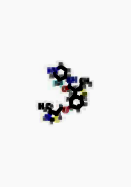 Cc1ncsc1COc1ccc2sc(C)c(C(=O)N[C@H]3CCNCC3(F)F)c2c1